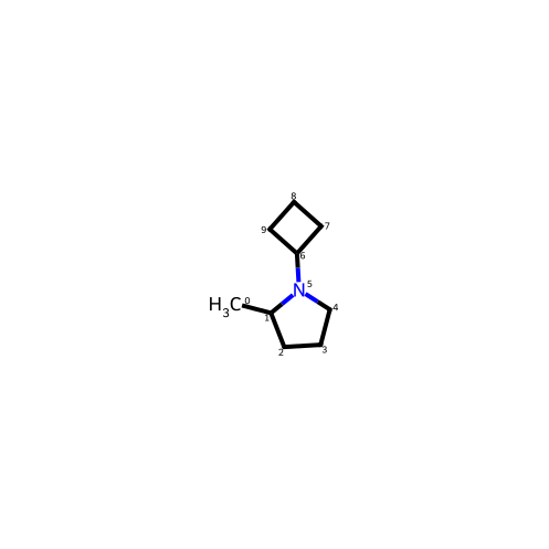 CC1CCCN1C1CCC1